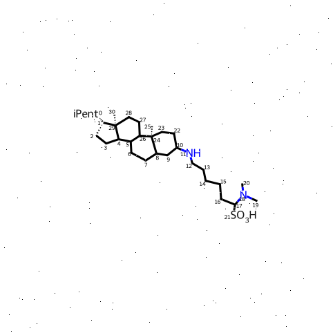 CCC[C@@H](C)[C@H]1CCC2C3CCC4CC(NCCCCCC(N(C)C)S(=O)(=O)O)CC[C@]4(C)C3CC[C@@]21C